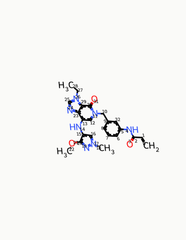 C=CC(=O)Nc1cccc(Cn2cc(Nc3cn(C)nc3OC)c3ncn(CC)c3c2=O)c1